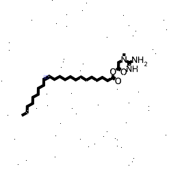 CCCCCCCC/C=C\CCCCCCCCCCCC(=O)OC(=O)CN(C)C(=N)N